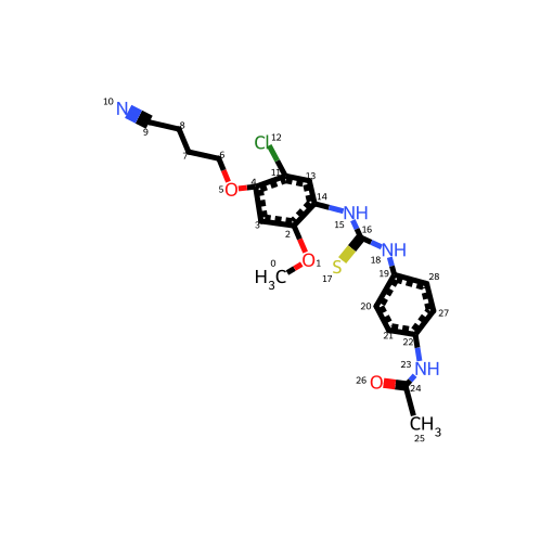 COc1cc(OCCCC#N)c(Cl)cc1NC(=S)Nc1ccc(NC(C)=O)cc1